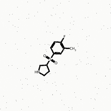 Cc1cc(S(=O)(=O)C2CCNC2)ccc1F